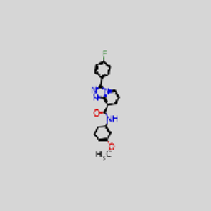 COC1=CCCC(NC(=O)c2cccn3c(-c4ccc(F)cc4)nnc23)=C1